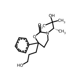 C[C@H](N1CCC(CCCO)(c2ccccc2)OC1=O)C(C)(C)O